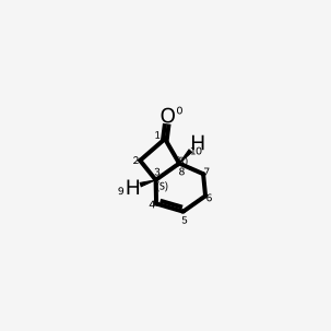 O=C1C[C@H]2C=CCC[C@@H]12